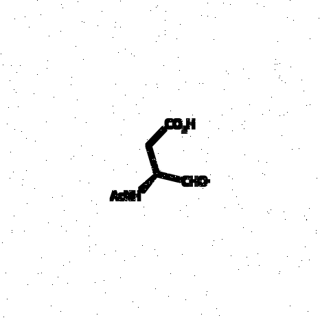 CC(=O)N[C@H]([C]=O)CC(=O)O